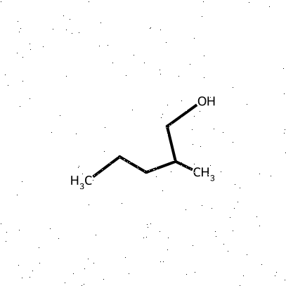 CCCC(C)CO